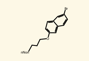 CCCCCCCCCCCCOc1ccc2cc(Br)ccc2c1